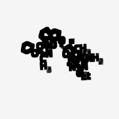 CCOc1nc(N)nc2c1ncn2[C@@H]1O[C@H](COc2ccc3ccccc3c2O/[P+]([O-])=N/[C@@H](C)C(=O)OC2CCCCC2)[C@@H](F)[C@@]1(C)O